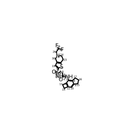 N[S@@](=O)(=NC(=O)Nc1c2c(cc3c1CC3)CCC2)c1cc2c(s1)CCN(CC(F)F)C2